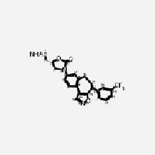 CC(=O)NC[C@H]1CN(c2ccc3c(c2)CCC(c2cccc(C(F)(F)F)c2)c2oncc2-3)C(=O)O1